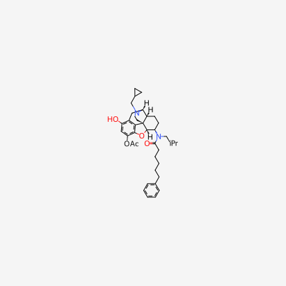 CC(=O)Oc1cc(O)c2c3c1O[C@H]1[C@H](N(CC(C)C)C(=O)CCCCCc4ccccc4)CC[C@H]4[C@@H](C2)N(CC2CC2)CC[C@@]341